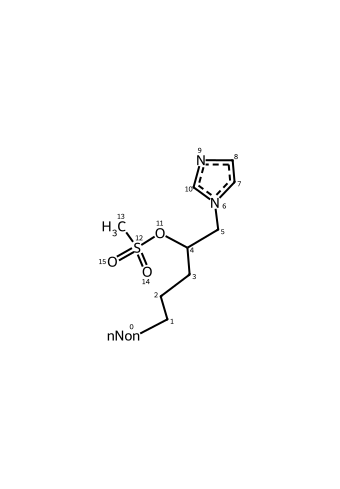 CCCCCCCCCCCCC(Cn1ccnc1)OS(C)(=O)=O